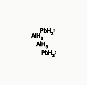 [AlH3].[AlH3].[PbH2].[PbH2]